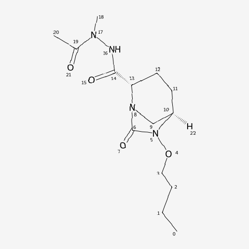 CCCCON1C(=O)N2C[C@H]1CC[C@H]2C(=O)NN(C)C(C)=O